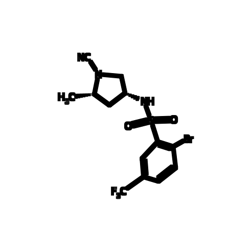 C[C@H]1C[C@@H](NS(=O)(=O)c2cc(C(F)(F)F)ccc2Br)CN1C#N